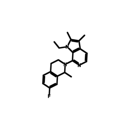 CCn1c(C)c(C)c2ccnc(N3CCc4ccc(F)cc4C3C)c21